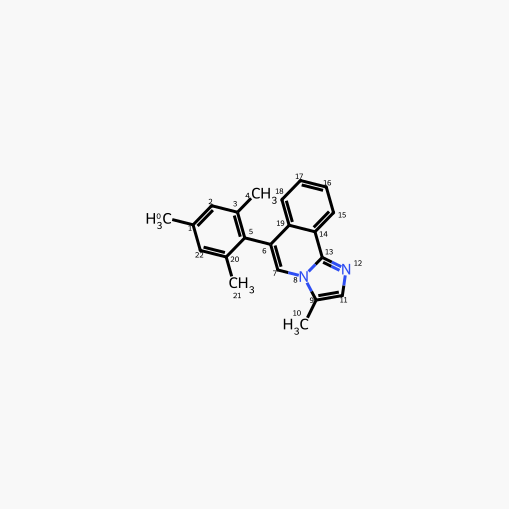 Cc1cc(C)c(-c2cn3c(C)cnc3c3ccccc23)c(C)c1